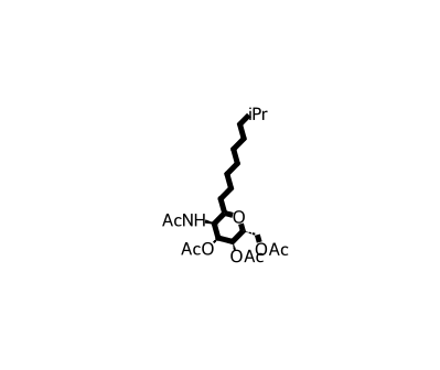 CC(=O)N[C@H]1C(CCCCCCCC(C)C)O[C@H](COC(C)=O)[C@H](OC(C)=O)[C@@H]1OC(C)=O